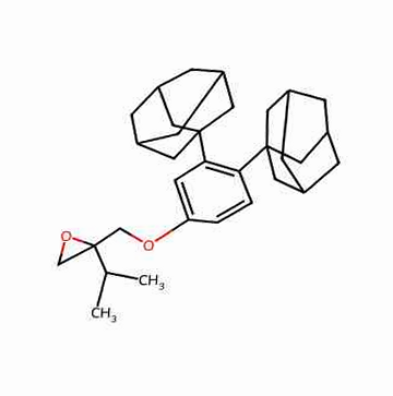 CC(C)C1(COc2ccc(C34CC5CC(CC(C5)C3)C4)c(C34CC5CC(CC(C5)C3)C4)c2)CO1